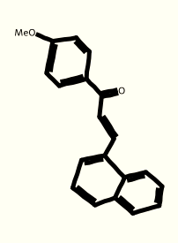 COc1ccc(C(=O)/C=C/c2cccc3ccccc23)cc1